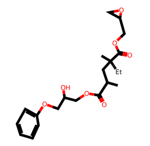 CCC(C)(CC(C)C(=O)OCC(O)COc1ccccc1)C(=O)OCC1CO1